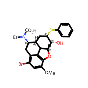 CCN(C(=O)O)[C@@H]1Cc2c(Br)cc(OC)c3c2C2[C@H]1C[C@@H](Sc1ccccc1)[C@H](O)[C@@H]2O3